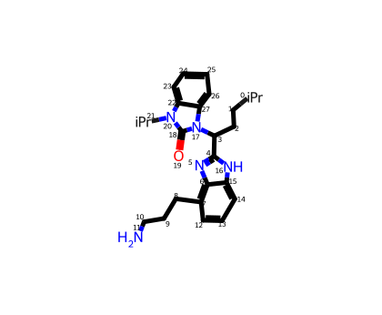 CC(C)CCC(c1nc2c(CCCN)cccc2[nH]1)n1c(=O)n(C(C)C)c2ccccc21